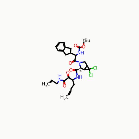 C=CCCC(NC(=O)[C@@H]1C2C(CN1C(=O)C(NC(=O)OC(C)(C)C)C1Cc3ccccc3C1)C2(Cl)Cl)C(=O)C(=O)NCC=C